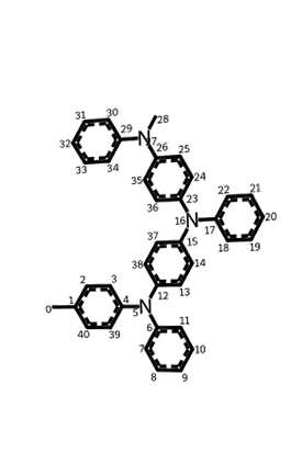 Cc1ccc(N(c2ccccc2)c2ccc(N(c3ccccc3)c3ccc(N(C)c4ccccc4)cc3)cc2)cc1